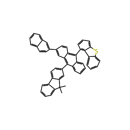 CC1(C)c2ccccc2-c2ccc(-c3c4ccccc4c(-c4cccc5sc6ccccc6c45)c4ccc(-c5ccc6ccccc6c5)cc34)cc21